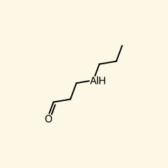 CC[CH2][AlH][CH2]CC=O